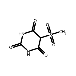 CS(=O)(=O)C1C(=O)NC(=O)NC1=O